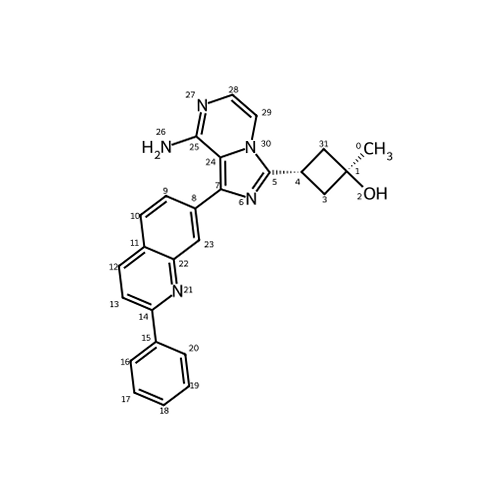 C[C@]1(O)C[C@H](c2nc(-c3ccc4ccc(-c5ccccc5)nc4c3)c3c(N)nccn32)C1